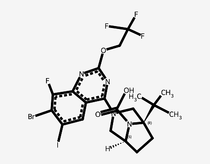 CC(C)(C)[C@]12CC[C@@H](CN(c3nc(OCC(F)(F)F)nc4c(F)c(Br)c(I)cc34)C1)N2C(=O)O